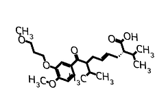 COCCCOc1cc(C(=O)C(CC=CC[C@H](C(=O)O)C(C)C)C(C)C)ccc1OC